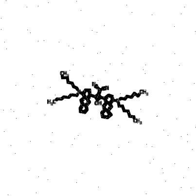 CCCCCCCN(CCCCCCC)c1ccc(C2=C(O)C(c3ccc(N(CCCCCCC)CCCCCCC)c4cc5ccccc5cc34)C2=C(C#N)C#N)c2cc3ccccc3cc12